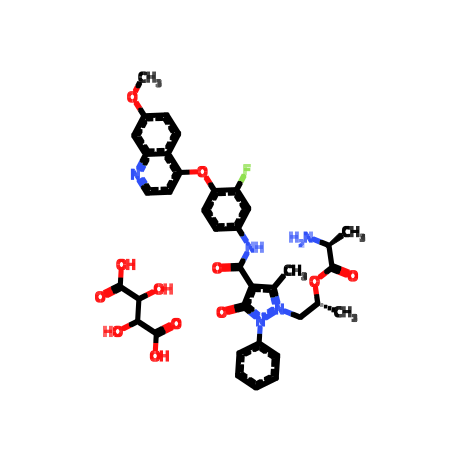 COc1ccc2c(Oc3ccc(NC(=O)c4c(C)n(C[C@@H](C)OC(=O)[C@H](C)N)n(-c5ccccc5)c4=O)cc3F)ccnc2c1.O=C(O)C(O)C(O)C(=O)O